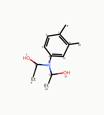 CCC(O)N(c1ccc(C)c(C)c1)C(O)CC